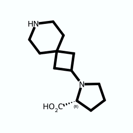 O=C(O)[C@H]1CCCN1C1CC2(CCNCC2)C1